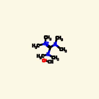 CN(C)C(N(C)C)=[N+](C)C.N#C[O-]